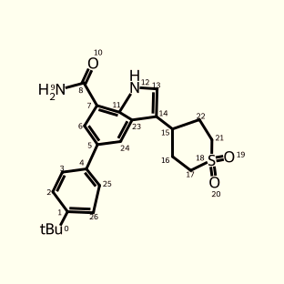 CC(C)(C)c1ccc(-c2cc(C(N)=O)c3[nH]cc(C4CCS(=O)(=O)CC4)c3c2)cc1